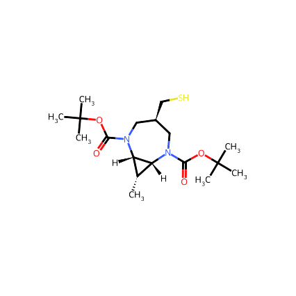 C[C@H]1[C@@H]2[C@H]1N(C(=O)OC(C)(C)C)C[C@@H](CS)CN2C(=O)OC(C)(C)C